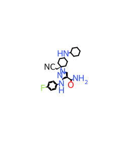 N#CC[C@]1(n2cc(C(N)=O)c(Nc3ccc(F)cc3)n2)CC[C@@H](NC2CCCCC2)CC1